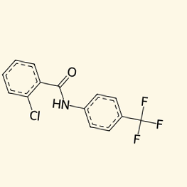 O=C(Nc1ccc(C(F)(F)F)cc1)c1ccccc1Cl